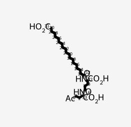 CC(=O)CCC(NC(=O)CCC(NC(=O)CCCCCCCCCCCCCCCCCCC(=O)O)C(=O)O)C(=O)O